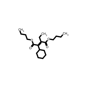 CCCCOC(=O)C(CC)=C(C(=O)OCCCC)C1CCCCC1